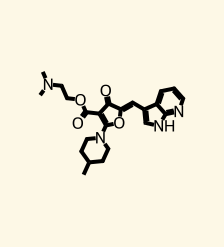 CC1CCN(C2=C(C(=O)OCCN(C)C)C(=O)/C(=C/c3c[nH]c4ncccc34)O2)CC1